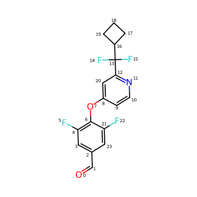 O=Cc1cc(F)c(Oc2ccnc(C(F)(F)C3CCC3)c2)c(F)c1